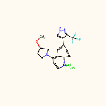 CO[C@@H]1CCN(c2ccnc3ccc(-c4c[nH]nc4C(F)(F)F)cc23)C1.Cl.Cl